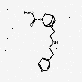 COC(=O)N1CC2C=CC1C(CCNCCc1ccccc1)C2